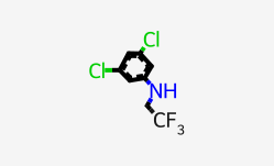 FC(F)(F)CNc1cc(Cl)cc(Cl)c1